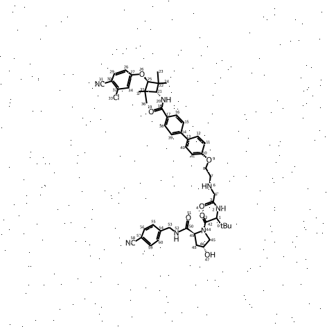 CC(C)(C)C(NC(=O)CNCCOc1ccc(-c2ccc(C(=O)N[C@H]3C(C)(C)[C@H](Oc4ccc(C#N)c(Cl)c4)C3(C)C)cc2)cc1)C(=O)N1C[C@H](O)C[C@H]1C(=O)NCc1ccc(C#N)cc1